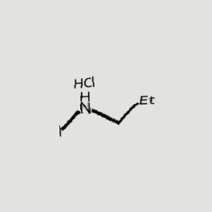 CCCNI.Cl